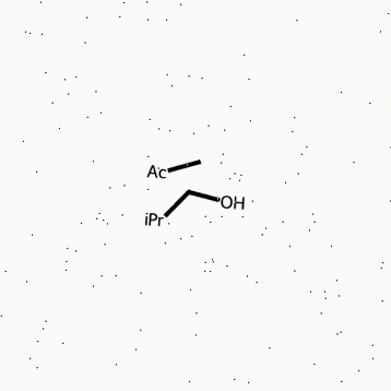 CC(C)=O.CC(C)CO